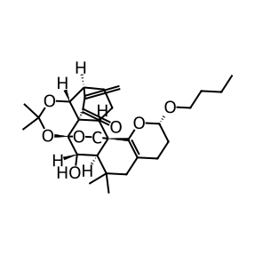 C=C1C(=O)[C@@]23[C@@H]4OC(C)(C)O[C@]25OC[C@]2(C6=C(CC[C@@H](OCCCC)O6)CC(C)(C)[C@H]2[C@@H]5O)[C@@H]3CC[C@@H]14